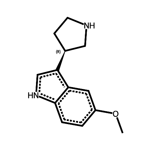 COc1ccc2[nH]cc([C@H]3CCNC3)c2c1